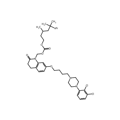 CCCC(C)(C)CC(C)CCOC(=O)OCN1C(=O)CCc2ccc(OCCCCN3CCN(c4cccc(Cl)c4Cl)CC3)cc21